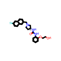 O=C(Nc1ccccc1OCCO)N[C@@H]1CCN(Cc2ccc3cc(F)ccc3c2)C1